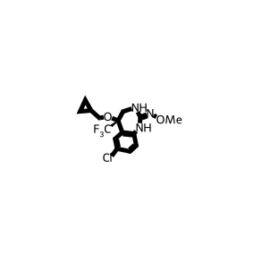 CO/N=C1/NC[C@](OCC2CC2)(C(F)(F)F)c2cc(Cl)ccc2N1